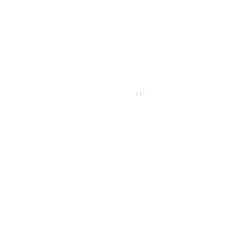 C1=Cc2c(ccc3c2ccc2ccccc23)CC1.CCF